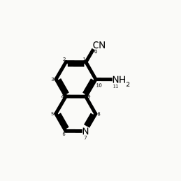 N#Cc1ccc2ccncc2c1N